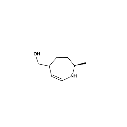 C[C@@H]1CCC(CO)C=CN1